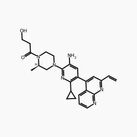 C=Cc1cc(-c2cc(N)c(N3CCN(C(=O)CCO)[C@H](C)C3)nc2C2CC2)c2cccnc2n1